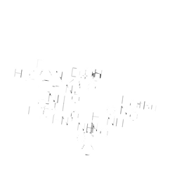 CC[C@@]1(O)C(=O)OCc2c1cc1n(c2=O)Cc2c-1nc1cc(F)c(C)c3c1c2[C@@H](NC(=O)C(C)(C)CCNC(=O)CNC(=O)[C@H](Cc1ccccc1)NC(=O)CNC(=O)CNC(=O)OC(C)(C)C)CC3